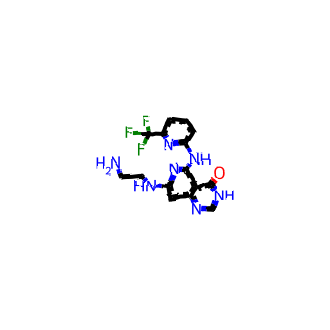 NCCNc1cc2nc[nH]c(=O)c2c(Nc2cccc(C(F)(F)F)n2)n1